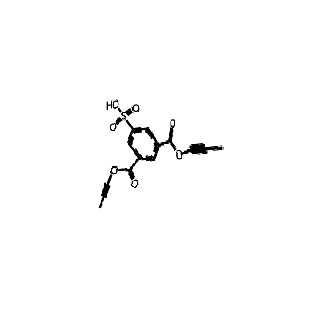 CC#COC(=O)c1cc(C(=O)OC#CC)cc(S(=O)(=O)O)c1